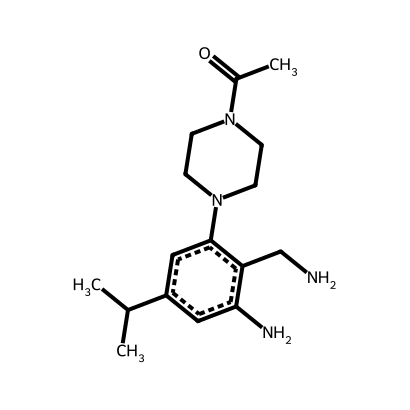 CC(=O)N1CCN(c2cc(C(C)C)cc(N)c2CN)CC1